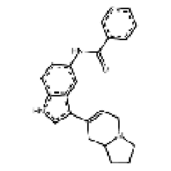 O=C(Nc1ccc2[nH]cc(C3=CCN4CCCC4C3)c2c1)c1ccccc1